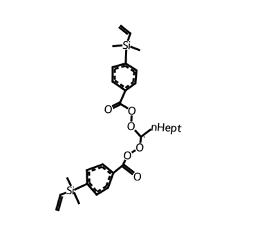 [CH2]CCCCCC[C](OOC(=O)c1ccc([Si](C)(C)C=C)cc1)OOC(=O)c1ccc([Si](C)(C)C=C)cc1